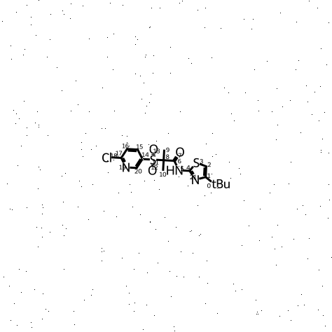 CC(C)(C)c1csc(NC(=O)C(C)(C)S(=O)(=O)c2ccc(Cl)nc2)n1